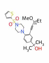 CC[C@@H](C#Cc1cc(C(C)(C)O)ccc1N1CCN(S(=O)(=O)c2cccs2)CC1)OC